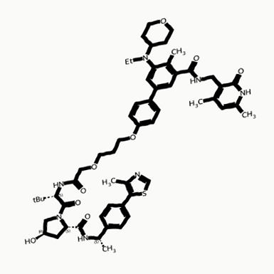 CCN(c1cc(-c2ccc(OCCCOCC(=O)N[C@H](C(=O)N3C[C@H](O)C[C@H]3C(=O)N[C@@H](C)c3ccc(-c4scnc4C)cc3)C(C)(C)C)cc2)cc(C(=O)NCc2c(C)cc(C)[nH]c2=O)c1C)C1CCOCC1